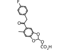 Cc1cc2c(cc1C(=O)Cc1ccc(F)cc1)OC(OC(=O)O)O2